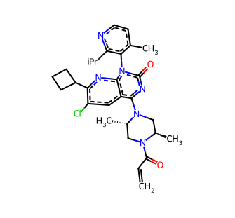 C=CC(=O)N1C[C@H](C)N(c2nc(=O)n(-c3c(C)ccnc3C(C)C)c3nc(C4CCC4)c(Cl)cc23)C[C@H]1C